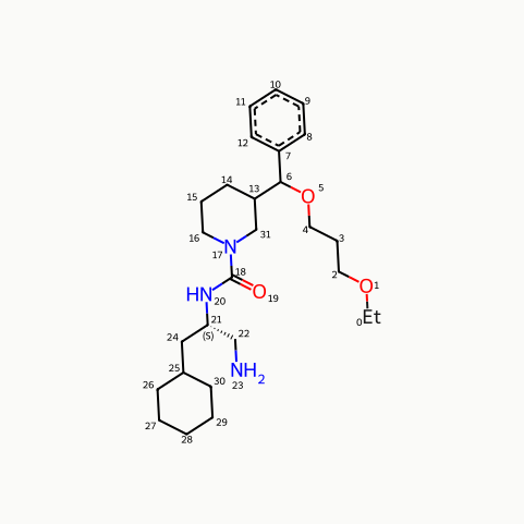 CCOCCCOC(c1ccccc1)C1CCCN(C(=O)N[C@H](CN)CC2CCCCC2)C1